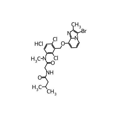 Cc1nc2c(OCc3c(Cl)ccc(N(C)C(=O)CNC(=O)CC(C)C)c3Cl)cccn2c1Br.Cl